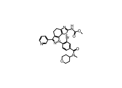 COC(=O)Nc1nc2c(s1)-c1c(c(-c3cccnc3)nn1-c1ccc(C(=O)N(C)C3CCOCC3)cc1Br)CC2